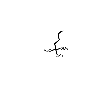 COC(CCCBr)(OC)OC